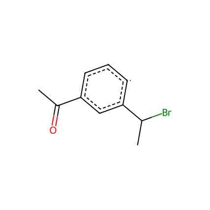 CC(=O)c1cc[c]c(C(C)Br)c1